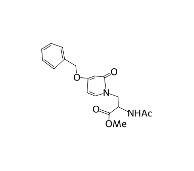 COC(=O)C(Cn1ccc(OCc2ccccc2)cc1=O)NC(C)=O